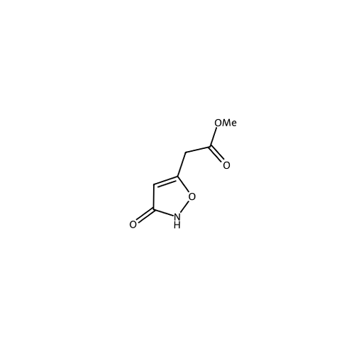 COC(=O)Cc1cc(=O)[nH]o1